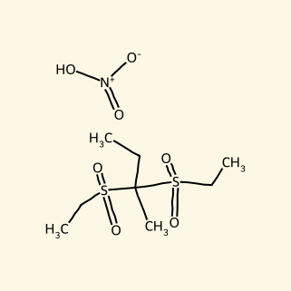 CCC(C)(S(=O)(=O)CC)S(=O)(=O)CC.O=[N+]([O-])O